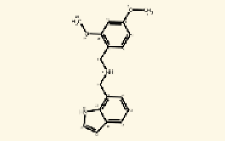 COc1ccc(CNCc2cccc3cc[nH]c23)c(OC)c1